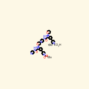 CC(C)(C)C1CC(c2ccc3c(c2)c(C(=O)Nc2ccncc2)nn3C2CCCCO2)=CCN1C(=O)O.CC(C)(C)OC(=O)N1CC=C(c2ccc3c(c2)c(C(=O)Nc2ccncc2)nn3C2CCCCO2)CC1